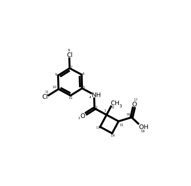 CC1(C(=O)Nc2cc(Cl)cc(Cl)c2)CCC1C(=O)O